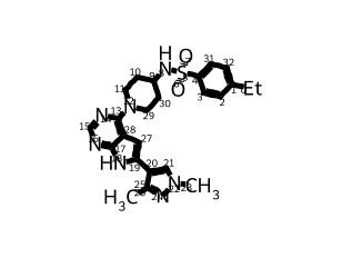 CCc1ccc(S(=O)(=O)NC2CCN(c3ncnc4[nH]c(-c5cn(C)nc5C)cc34)CC2)cc1